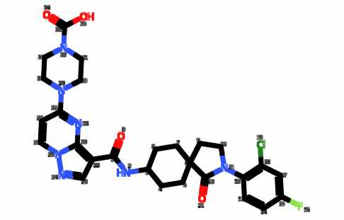 O=C(NC1CCC2(CC1)CCN(c1ccc(F)cc1Cl)C2=O)c1cnn2ccc(N3CCN(C(=O)O)CC3)nc12